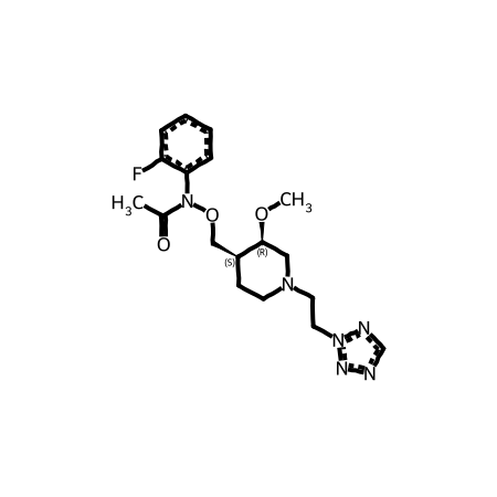 CO[C@H]1CN(CCn2ncnn2)CC[C@H]1CON(C(C)=O)c1ccccc1F